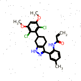 C=CC(=O)Nc1ccc(C)cc1-c1n[nH]c2c1CCC(c1c(Cl)c(OC)cc(OC)c1Cl)C2